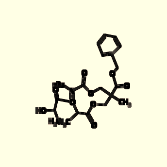 CCCCNC(=O)OCC(C)(COC(=O)C(C)OC(=O)C(C)O)C(=O)OCc1ccccc1